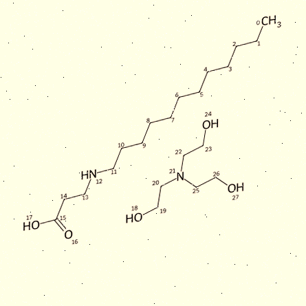 CCCCCCCCCCCCNCCC(=O)O.OCCN(CCO)CCO